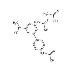 CC(=O)O.CC(=O)O.CC(=O)O.[CH3][Pb]([Cl])[c]1cccc(-c2ccccc2)c1